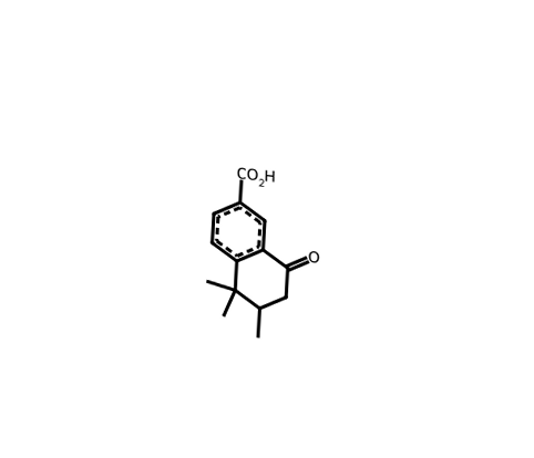 CC1CC(=O)c2cc(C(=O)O)ccc2C1(C)C